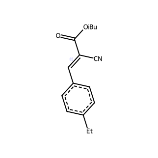 CCc1ccc(/C=C(\C#N)C(=O)OCC(C)C)cc1